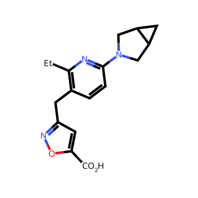 CCc1nc(N2CC3CC3C2)ccc1Cc1cc(C(=O)O)on1